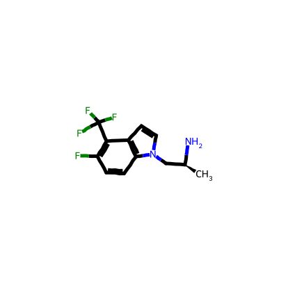 C[C@H](N)Cn1ccc2c(C(F)(F)F)c(F)ccc21